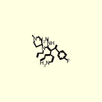 C=C/C=C(\C=C/N)C(/C(=C)c1ccc(F)cc1)=C(/NN)N(CC=C)C1CCN(C)CC1